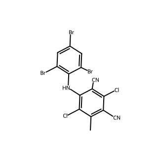 Cc1c(Cl)c(Nc2c(Br)cc(Br)cc2Br)c(C#N)c(Cl)c1C#N